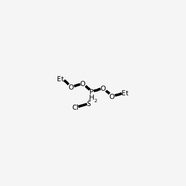 CCOO[PH2](OOCC)SCl